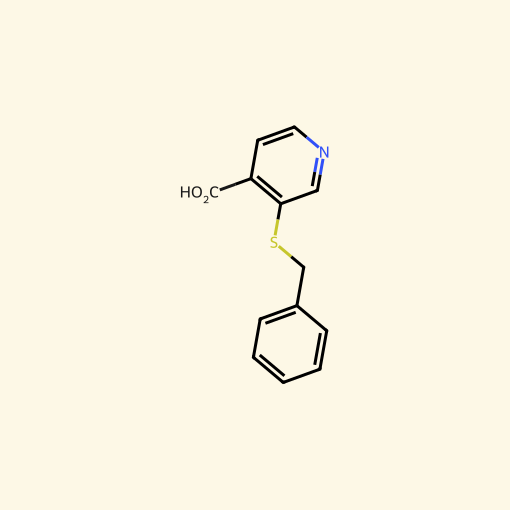 O=C(O)c1ccncc1SCc1ccccc1